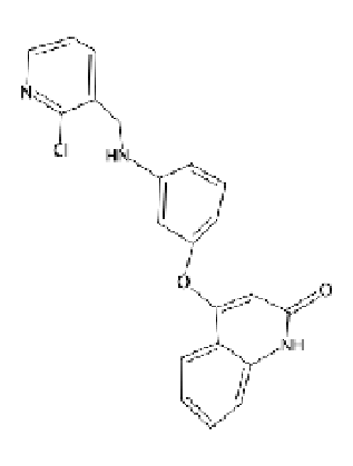 O=c1cc(Oc2cccc(NCc3cccnc3Cl)c2)c2ccccc2[nH]1